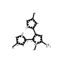 Cc1csc(-c2cc(C(F)(F)F)n(C)c2-c2cc(C)cs2)c1